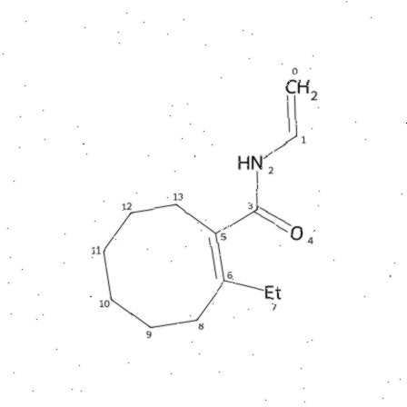 C=CNC(=O)/C1=C(\CC)CCCCCC1